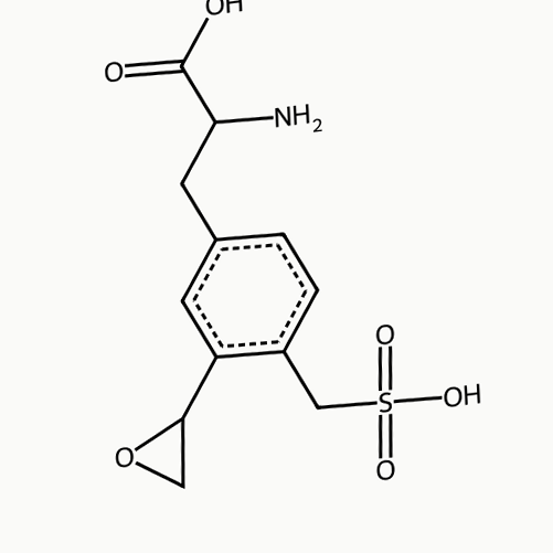 NC(Cc1ccc(CS(=O)(=O)O)c(C2CO2)c1)C(=O)O